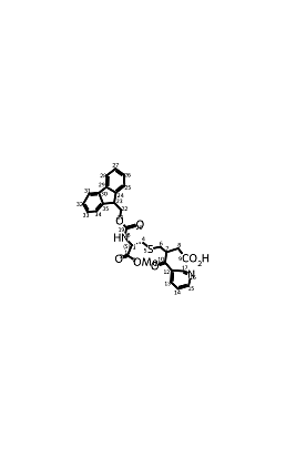 COC(=O)[C@@H](CSCC(CC(=O)O)C(=O)c1cccnc1)NC(=O)OCC1c2ccccc2-c2ccccc21